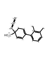 Cc1cccc(C2=CCC(N=[N+]=[N-])(C(=O)O)C=C2)c1C